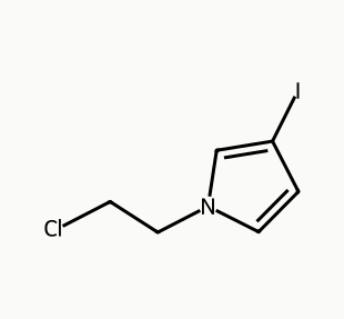 ClCCn1ccc(I)c1